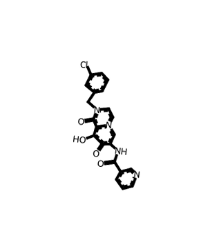 O=C(Nc1cn2ccn(Cc3cccc(Cl)c3)c(=O)c2c(O)c1=O)c1cccnc1